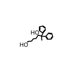 CC(c1ccccc1)(c1ccccc1)C(O)CCCCO